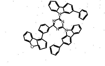 c1ccc(-c2ccc3c4ccccc4n(-c4nc(-c5cccc(-c6cccc7oc8ccccc8c67)c5)nc(-n5c6ccccc6c6ccc(-c7ccccc7)cc65)n4)c3c2)cc1